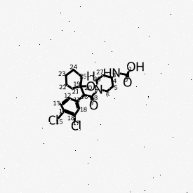 O=C(O)NC1CCN(C(=O)C(c2ccc(Cl)c(Cl)c2)C2(O)CCCCC2)CC1